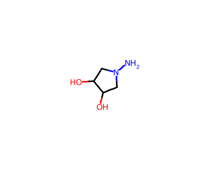 NN1CC(O)C(O)C1